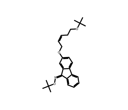 CC(C)(C)OCC/C=C\COc1ccc2c(c1)/C(=N/OC(C)(C)C)c1ccccc1-2